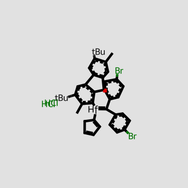 Cc1cc2c(cc1C(C)(C)C)-c1cc(C(C)(C)C)c(C)[c]([Hf]([C]3=CC=CC3)=[C](c3ccc(Br)cc3)c3ccc(Br)cc3)c1C2.Cl.Cl